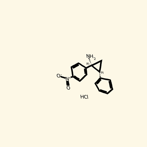 Cl.N[C@]1(c2ccc([N+](=O)[O-])cc2)C[C@@H]1c1ccccc1